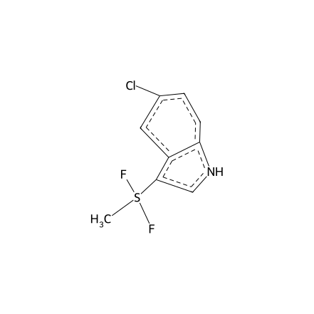 CS(F)(F)c1c[nH]c2ccc(Cl)cc12